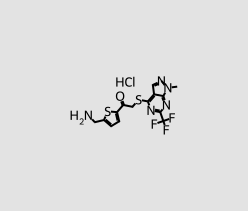 Cl.Cn1ncc2c(SCC(=O)c3ccc(CN)s3)nc(C(F)(F)F)nc21